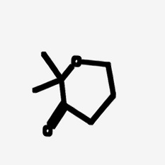 CC1(C)OCCCC1=O